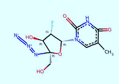 Cc1cn([C@@H]2O[C@@](CO)(N=[N+]=[N-])[C@@H](O)[C@@H]2F)c(=O)[nH]c1=O